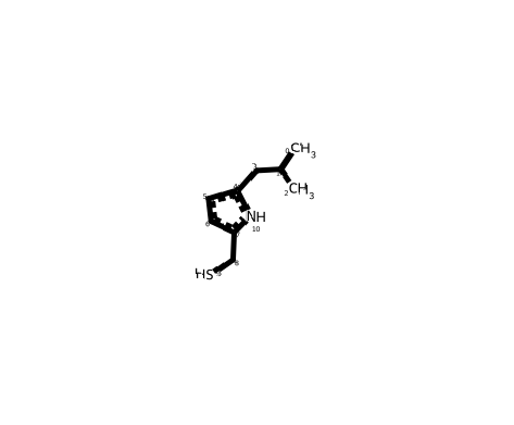 CC(C)Cc1ccc(CS)[nH]1